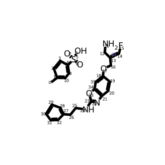 Cc1ccc(S(=O)(=O)O)cc1.NC/C(=C\F)COc1ccc2nc(NCCc3ccccc3)oc2c1